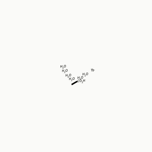 CC(=O)O.O.O.O.O.O.O.[Tb]